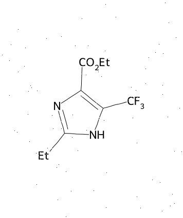 CCOC(=O)c1nc(CC)[nH]c1C(F)(F)F